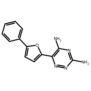 Nc1nnc(-c2ccc(-c3ccccc3)o2)c(N)n1